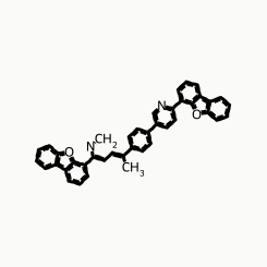 C=N/C(=C\C=C(/C)c1ccc(-c2ccc(-c3cccc4c3oc3ccccc34)nc2)cc1)c1cccc2c1oc1ccccc12